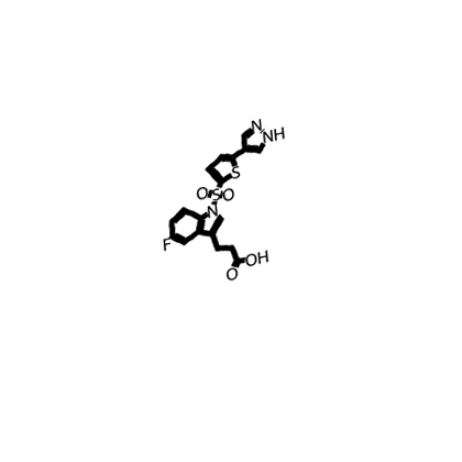 O=C(O)CCc1cn(S(=O)(=O)c2ccc(-c3cn[nH]c3)s2)c2ccc(F)cc12